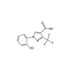 O=C(O)c1cn(-c2ccccc2O)nc1C(F)(F)F